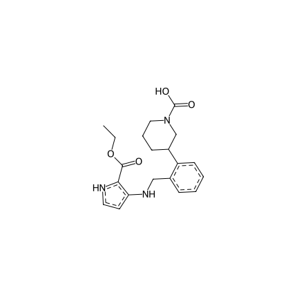 CCOC(=O)c1[nH]ccc1NCc1ccccc1C1CCCN(C(=O)O)C1